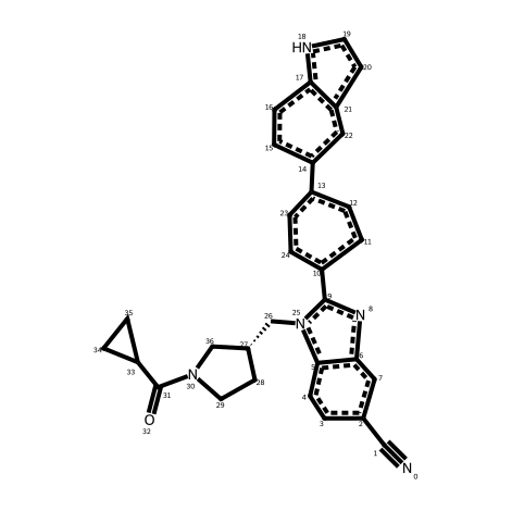 N#Cc1ccc2c(c1)nc(-c1ccc(-c3ccc4[nH]ccc4c3)cc1)n2C[C@@H]1CCN(C(=O)C2CC2)C1